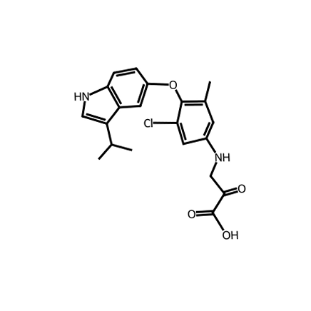 Cc1cc(NCC(=O)C(=O)O)cc(Cl)c1Oc1ccc2[nH]cc(C(C)C)c2c1